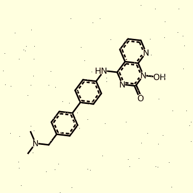 CN(C)Cc1ccc(-c2ccc(Nc3nc(=O)n(O)c4ncccc34)cc2)cc1